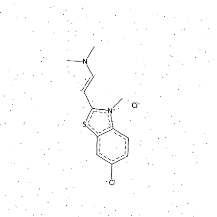 CN(C)/C=C/c1sc2cc(Cl)ccc2[n+]1C.[Cl-]